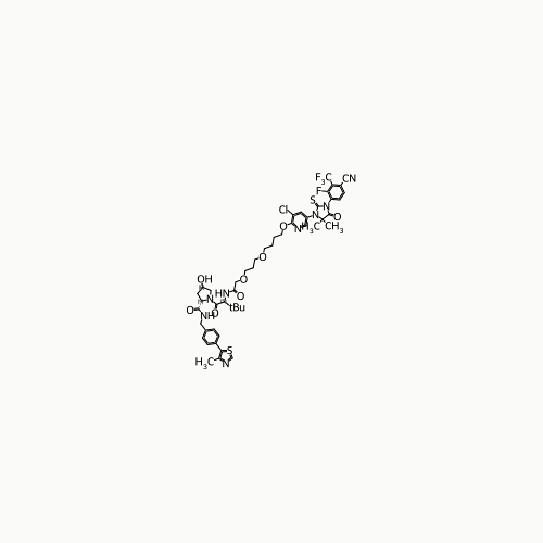 Cc1ncsc1-c1ccc(CNC(=O)[C@@H]2C[C@@H](O)CN2C(=O)[C@@H](NC(=O)COCCCOCCCCOc2ncc(N3C(=S)N(c4ccc(C#N)c(C(F)(F)F)c4F)C(=O)C3(C)C)cc2Cl)C(C)(C)C)cc1